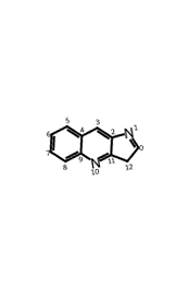 C1=Nc2cc3ccccc3nc2C1